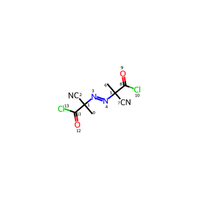 CC(C#N)(N=NC(C)(C#N)C(=O)Cl)C(=O)Cl